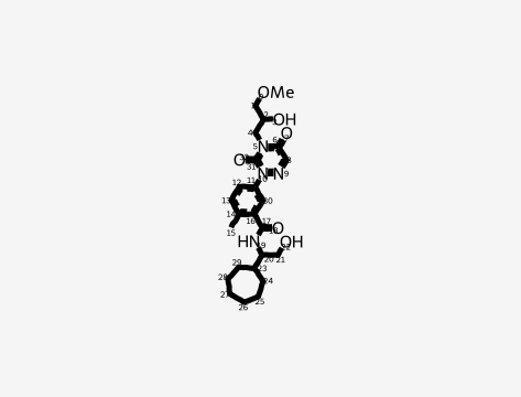 COCC(O)Cn1c(=O)cnn(-c2ccc(C)c(C(=O)NC(CO)C3CCCCCC3)c2)c1=O